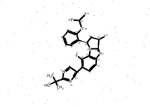 CC(C)(O)c1ncc(-c2ccc3nc4n(c3c2F)[C@@H](c2ccccc2OC(F)F)CC4F)cn1